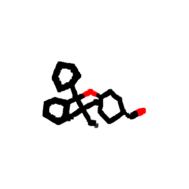 CC(C)(C)[Si](O[C@H]1CC[C@H](C=O)CC1)(c1ccccc1)c1ccccc1